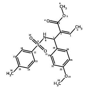 CC=C(C(=O)OC)C(NS(=O)(=O)c1ccc(C)cc1)c1ccc(OC)cc1